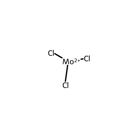 [Cl][Mo+2]([Cl])[Cl]